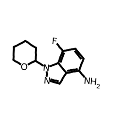 Nc1ccc(F)c2c1cnn2C1CCCCO1